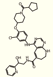 O=C(NCC(O)c1ccccn1)C1=Cc2c(ncnc2Nc2ccc(OC3CCN(C(=O)C4CCCC4)CC3)c(Cl)c2)NCC1